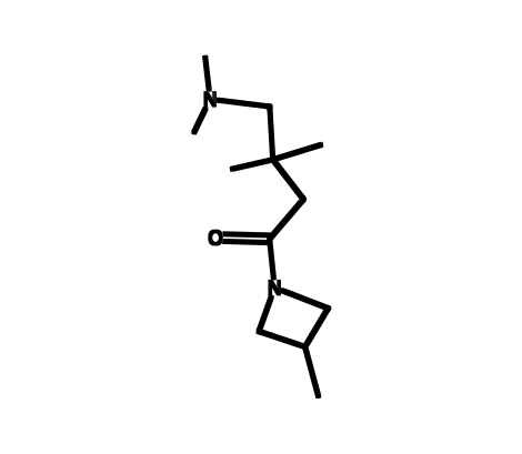 CC1CN(C(=O)CC(C)(C)CN(C)C)C1